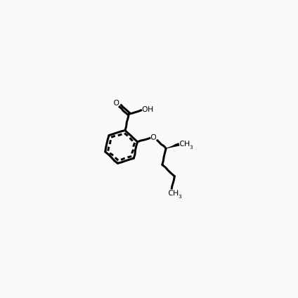 CCC[C@H](C)Oc1ccccc1C(=O)O